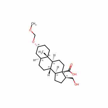 COCO[C@@H]1CC[C@@]2(C)[C@@H](CC[C@@H]3[C@@H]2CC[C@]2(C(=O)O)[C@@H](CO)CC[C@@H]32)C1